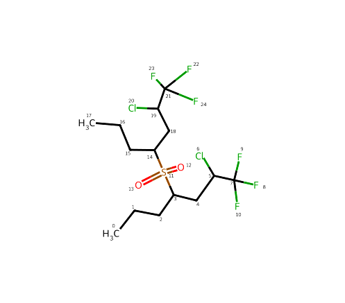 CCCC(CC(Cl)C(F)(F)F)S(=O)(=O)C(CCC)CC(Cl)C(F)(F)F